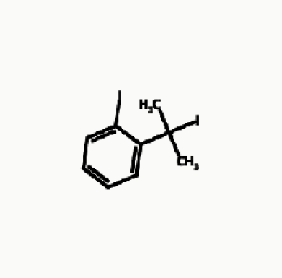 CC(C)(I)c1ccccc1I